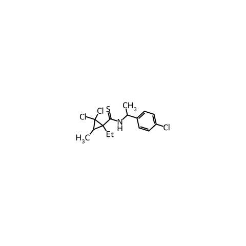 CCC1(C(=S)NC(C)c2ccc(Cl)cc2)C(C)C1(Cl)Cl